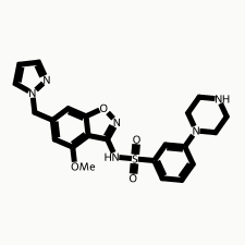 COc1cc(Cn2cccn2)cc2onc(NS(=O)(=O)c3cccc(N4CCNCC4)c3)c12